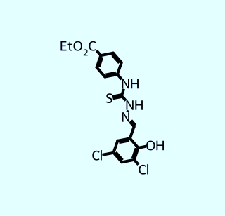 CCOC(=O)c1ccc(NC(=S)N/N=C/c2cc(Cl)cc(Cl)c2O)cc1